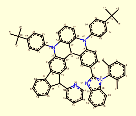 Cc1cccc(C)c1-n1c(-c2ccc3c(c2)B2c4cc5c(cc4N(c4ccc(C(C)(C)C)cc4)c4cccc(c42)N3c2ccc(C(C)(C)C)cc2)-c2ccccc2C5c2ccccn2)nc2ccccc21